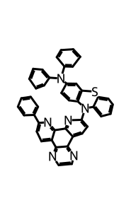 c1ccc(-c2ccc3c4nccnc4c4ccc(N5c6ccccc6Sc6cc(N(c7ccccc7)c7ccccc7)ccc65)nc4c3n2)cc1